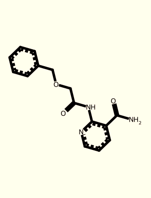 NC(=O)c1cccnc1NC(=O)COCc1ccccc1